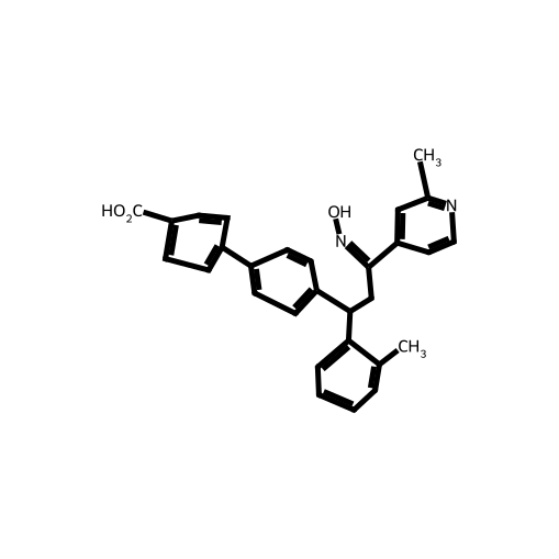 Cc1cc(C(CC(c2ccc(-c3ccc(C(=O)O)cc3)cc2)c2ccccc2C)=NO)ccn1